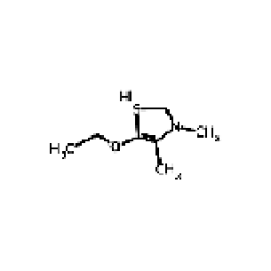 CCOC1=C(C)N(C)CS1.I